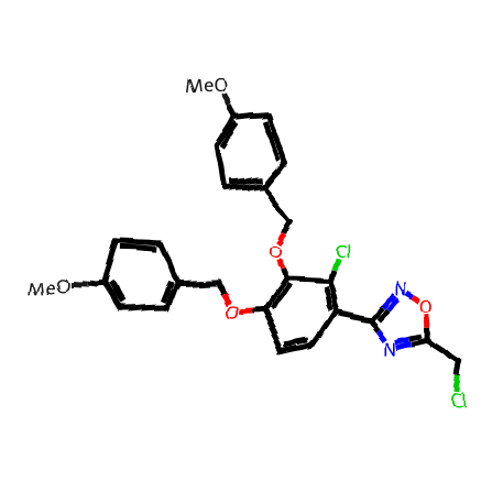 COc1ccc(COc2ccc(-c3noc(CCl)n3)c(Cl)c2OCc2ccc(OC)cc2)cc1